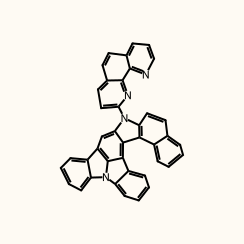 c1ccc2c(c1)ccc1c2c2c3c4ccccc4n4c5ccccc5c(cc2n1-c1ccc2ccc5cccnc5c2n1)c34